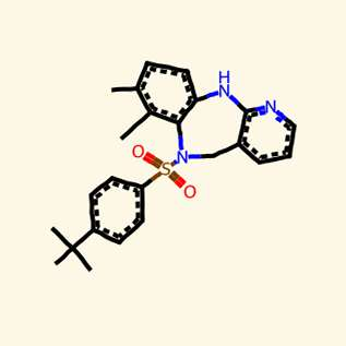 Cc1ccc2c(c1C)N(S(=O)(=O)c1ccc(C(C)(C)C)cc1)Cc1cccnc1N2